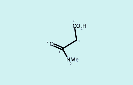 CNC(=O)CC(=O)O